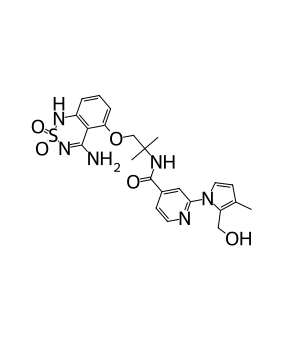 Cc1ccn(-c2cc(C(=O)NC(C)(C)COc3cccc4c3C(N)=NS(=O)(=O)N4)ccn2)c1CO